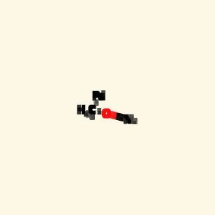 C.[O]=[Ni].[Pd]